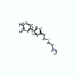 F/C=C/CCCCCc1ccc(-c2ccc(F)c(F)c2)cc1